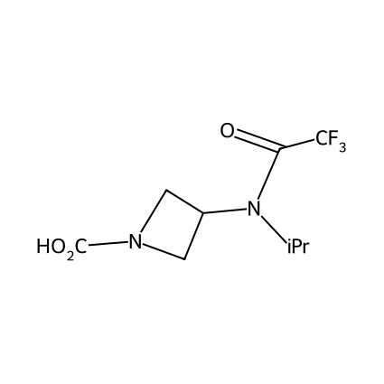 CC(C)N(C(=O)C(F)(F)F)C1CN(C(=O)O)C1